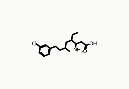 CCC(CC(C)CCc1cccc(Cl)c1)C(N)CC(=O)O